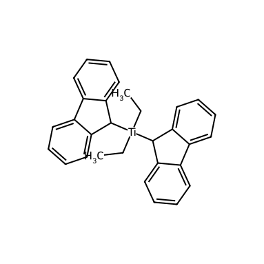 C[CH2][Ti]([CH2]C)([CH]1c2ccccc2-c2ccccc21)[CH]1c2ccccc2-c2ccccc21